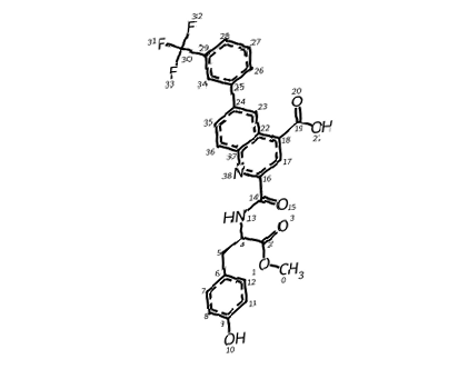 COC(=O)[C@@H](Cc1ccc(O)cc1)NC(=O)c1cc(C(=O)O)c2cc(-c3cccc(C(F)(F)F)c3)ccc2n1